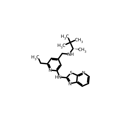 CCc1cc(CN[C@@H](C)C(C)(C)C)cc(Nc2nc3cccnc3s2)n1